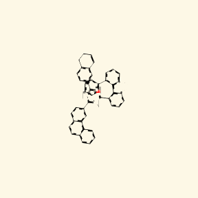 C1=Cc2cc(-c3nc(-c4ccc5ccc6ccccc6c5c4)nc(-c4cccc5oc6cccc(-c7ccccc7)c6c45)n3)ccc2CC1